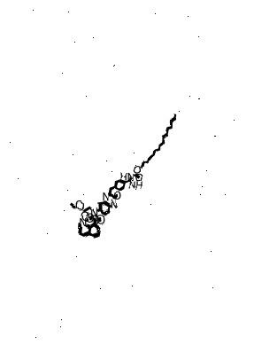 CCCCCCCCCCCCCCCCOC(=O)NC(=N)c1ccc(Cc2nc3cc(N(CC(=O)OCC)S(=O)(=O)c4cccc5cccnc45)ccc3n(C)c2=O)cc1